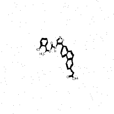 CC(OC(=O)Nc1cnoc1-c1ccc2c(ccc3cc(CC(=O)O)ccc32)c1)c1ccccc1Cl